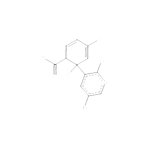 NC(=O)C1C=CC(F)=CC1(F)c1cc(Br)cnc1Cl